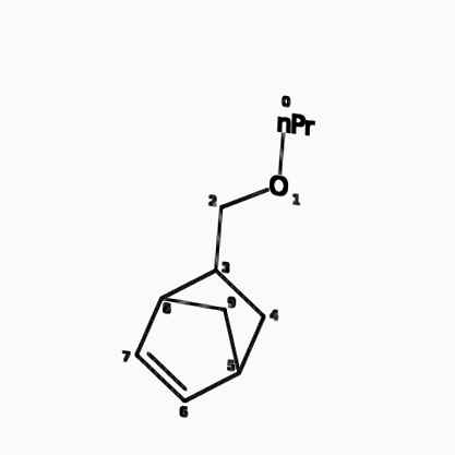 CCCOCC1CC2C=CC1C2